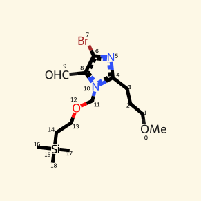 COCCCc1nc(Br)c(C=O)n1COCC[Si](C)(C)C